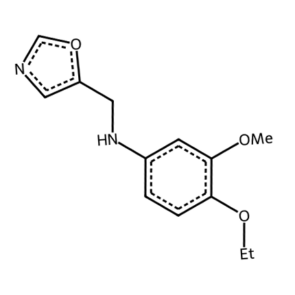 CCOc1ccc(NCc2cnco2)cc1OC